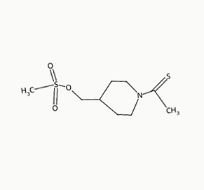 CC(=S)N1CCC(COS(C)(=O)=O)CC1